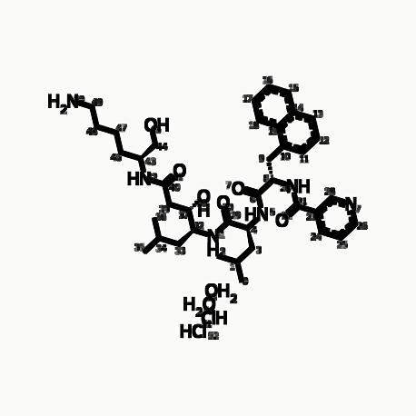 CC(C)C[C@H](NC(=O)[C@H](Cc1cccc2ccccc12)NC(=O)c1cccnc1)C(=O)N[C@@H](CC(C)C)[C@@H](O)CC(=O)N[C@H](CO)CCCCN.Cl.Cl.O.O